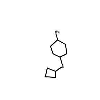 CC(C)(C)C1CCC(SC2CCC2)CC1